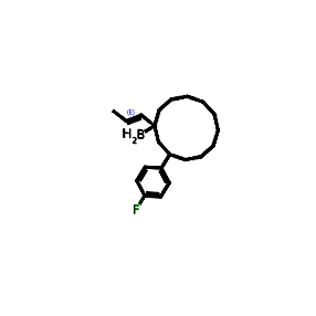 BC1(/C=C/C)CCCCCCCCCC(c2ccc(F)cc2)C1